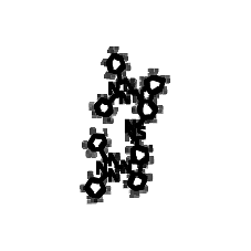 c1ccc(-c2nc(-c3ccccc3)nc(-n3c4ccccc4c4ccc(-c5nnc(-c6ccc7c8ccccc8n(-c8nc(-c9ccccc9)nc(-c9ccccc9)n8)c7c6)s5)cc43)n2)cc1